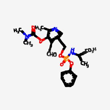 Cc1ncc(COP(=O)(NC(C)C(=O)O)Oc2ccccc2)c(C=O)c1OC(=O)N(C)C